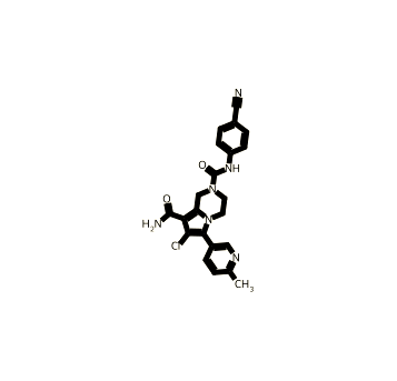 Cc1ccc(-c2c(Cl)c(C(N)=O)c3n2CCN(C(=O)Nc2ccc(C#N)cc2)C3)cn1